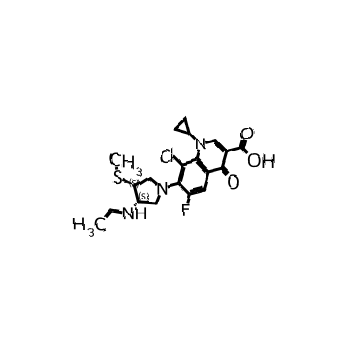 CCN[C@H]1CN(c2c(F)cc3c(=O)c(C(=O)O)cn(C4CC4)c3c2Cl)C[C@@H]1SC